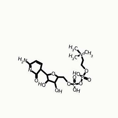 C[N+](C)(C)CCOP(=O)(O)OP(=O)(O)OCC1OC(C2C=CC(N)=NC2=O)C(O)C1O